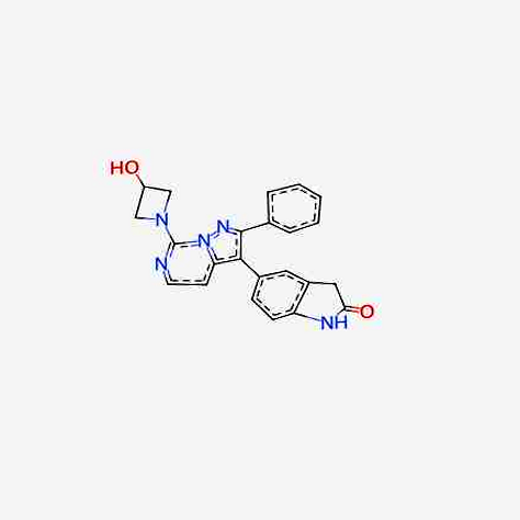 O=C1Cc2cc(-c3c(-c4ccccc4)nn4c(N5CC(O)C5)nccc34)ccc2N1